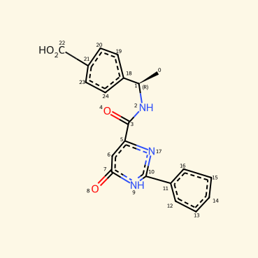 C[C@@H](NC(=O)c1cc(=O)[nH]c(-c2ccccc2)n1)c1ccc(C(=O)O)cc1